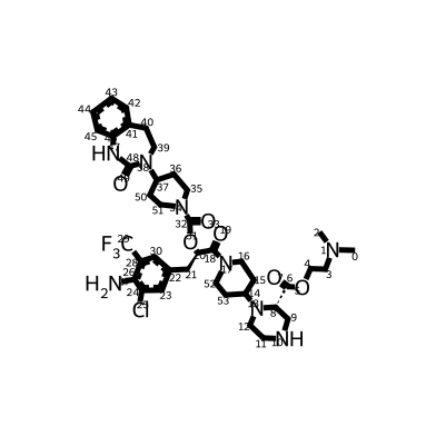 CN(C)CCOC(=O)[C@@H]1CNCCN1C1CCN(C(=O)[C@@H](Cc2cc(Cl)c(N)c(C(F)(F)F)c2)OC(=O)N2CCC(N3CCc4ccccc4NC3=O)CC2)CC1